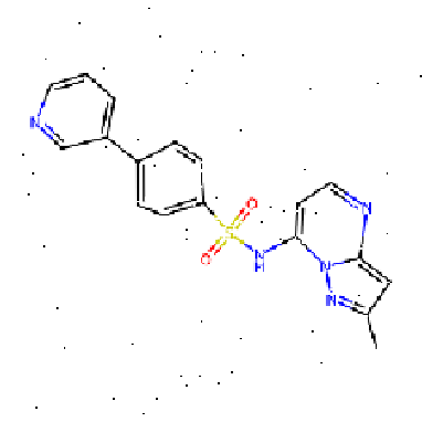 Cc1cc2nccc(NS(=O)(=O)c3ccc(-c4cccnc4)cc3)n2n1